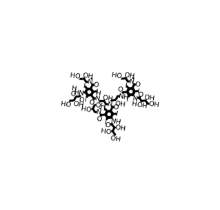 CN(CC(O)CO)C(=O)c1c(I)c(NC(=O)C(O)C(O)CO)c(I)c(C(=O)NCC(O)CN(CC(O)CNC(=O)c2c(I)c(NC(=O)C(O)C(O)CO)c(I)c(C(=O)N(C)CC(O)CO)c2I)C(=O)c2c(I)c(NC(=O)C(O)C(O)CO)c(I)c(C(=O)N(C)CC(O)CO)c2I)c1I